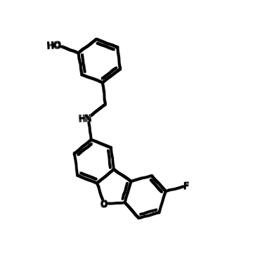 Oc1cccc(CNc2ccc3oc4ccc(F)cc4c3c2)c1